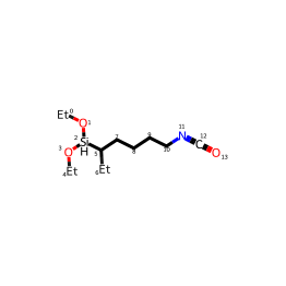 CCO[SiH](OCC)C(CC)CCCCN=C=O